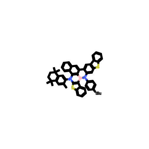 Cc1cc2c(cc1N1c3sc4ccccc4c3B3c4c(cc5ccccc5c41)-c1cc4c(cc1N3c1ccc(C(C)(C)C)cc1)sc1ccccc14)C(C)(C)CCC2(C)C